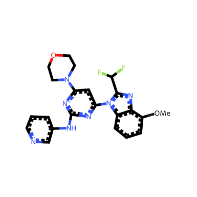 COc1cccc2c1nc(C(F)F)n2-c1cc(N2CCOCC2)nc(Nc2cccnc2)n1